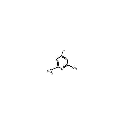 B.Cc1cc(O)nc(C)n1